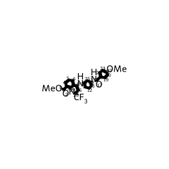 COC(=O)c1cccc2c(N[C@H]3CCC[C@@H](NC(=O)c4ccc(OC)cc4)C3)cc(C(F)(F)F)nc12